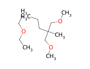 CCCC(C)(COC)COC.CCOCC